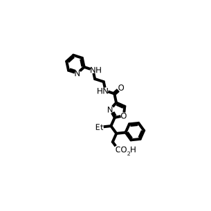 CCC(c1nc(C(=O)NCCNc2ccccn2)co1)C(CC(=O)O)c1ccccc1